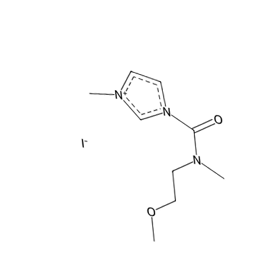 COCCN(C)C(=O)n1cc[n+](C)c1.[I-]